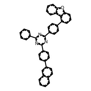 c1ccc(-c2nc(-c3ccc(-c4ccc5ccccc5c4)cc3)nc(-c3ccc(-c4cccc5oc6ccccc6c45)cc3)n2)cc1